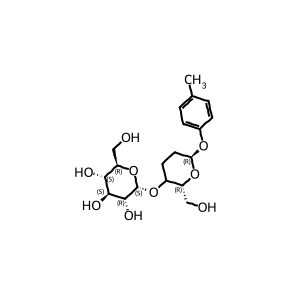 Cc1ccc(O[C@@H]2CCC(O[C@H]3O[C@H](CO)[C@@H](O)[C@H](O)[C@H]3O)[C@@H](CO)O2)cc1